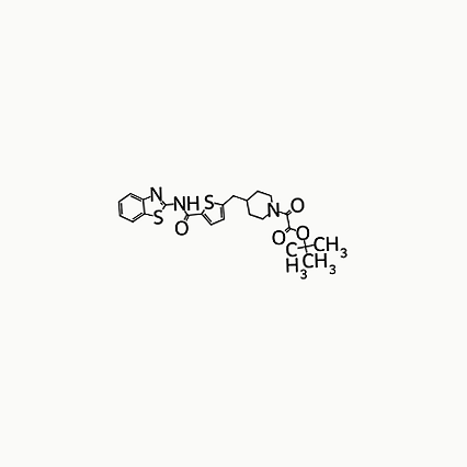 CC(C)(C)OC(=O)C(=O)N1CCC(Cc2ccc(C(=O)Nc3nc4ccccc4s3)s2)CC1